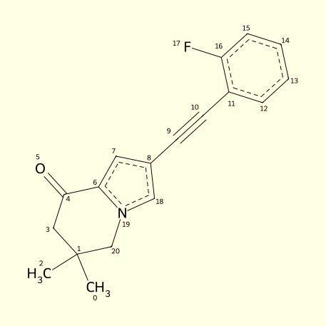 CC1(C)CC(=O)c2cc(C#Cc3ccccc3F)cn2C1